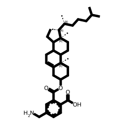 CC(C)CCC[C@@H](C)[C@H]1CCC2C3CC=C4CC(OC(=O)c5cc(CN)ccc5C(=O)O)CC[C@]4(C)C3CC[C@@]21C